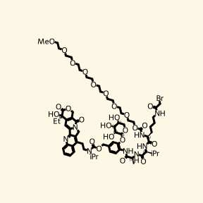 CC[C@@]1(O)C(=O)OCc2c1cc1n(c2=O)Cc2c-1nc1ccccc1c2CCN(C(=O)OCc1ccc(NC(=O)[C@H](C)NC(=O)[C@@H](NC(=O)[C@H](CCCCNC(=O)CBr)NC(=O)OCCOCCOCCOCCOCCOCCOCCOCCOC)C(C)C)c(O[C@@H]2OC[C@H](O)[C@H](O)[C@H]2O)c1)C(C)C